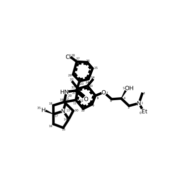 CCN(C)C[C@H](O)COc1ccc(CN2C3CC[C@@H]2CC(NC(=O)c2cccc(Cl)c2)C3)c(C)c1C